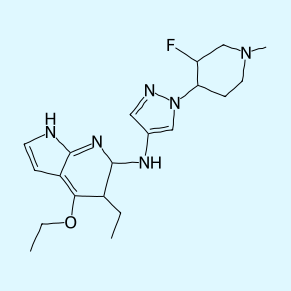 CCOC1=c2cc[nH]c2=NC(Nc2cnn(C3CCN(C)CC3F)c2)C1CC